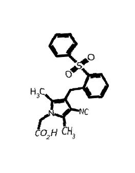 [C-]#[N+]c1c(Cc2ccccc2S(=O)(=O)c2ccccc2)c(C)n(CC(=O)O)c1C